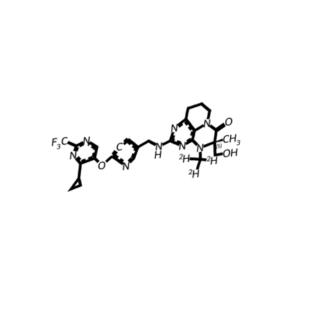 [2H]C([2H])([2H])N1c2nc(NCc3ccc(Oc4cnc(C(F)(F)F)nc4C4CC4)nc3)nc3c2N(CCC3)C(=O)[C@]1(C)CO